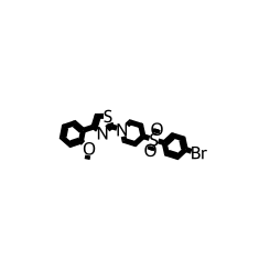 COc1ccccc1-c1csc(N2CCC(S(=O)(=O)c3ccc(Br)cc3)CC2)n1